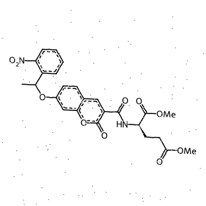 COC(=O)CC[C@@H](NC(=O)c1cc2ccc(OC(C)c3ccccc3[N+](=O)[O-])cc2oc1=O)C(=O)OC